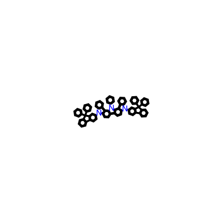 c1ccc(-n2c3c(ccc4c3c3ccccc3n4-c3ccc4c(c3)C(c3ccccc3)(c3ccccc3)c3ccccc3-4)c3ccc4c(c5ccccc5n4-c4ccc5c(c4)C(c4ccccc4)(c4ccccc4)c4ccccc4-5)c32)cc1